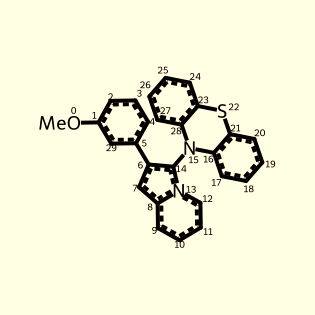 COc1cccc(-c2cc3ccccn3c2N2c3ccccc3Sc3ccccc32)c1